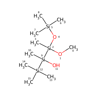 CO[Si](C)(O[Si](C)(C)C)[Si](C)(O)[Si](C)(C)C